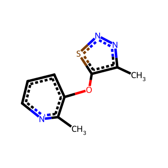 Cc1ncccc1Oc1snnc1C